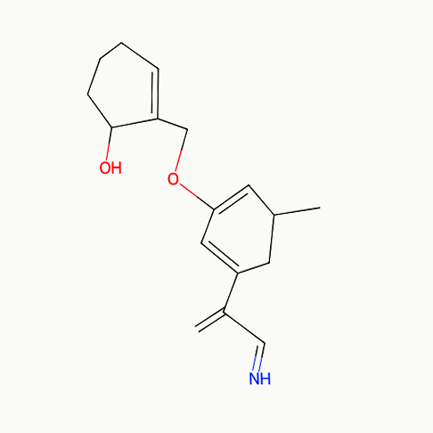 C=C(C=N)C1=CC(OCC2=CCCCC2O)=CC(C)C1